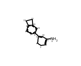 NC1=CCCC(c2ccc3c(c2)CC3)=C1